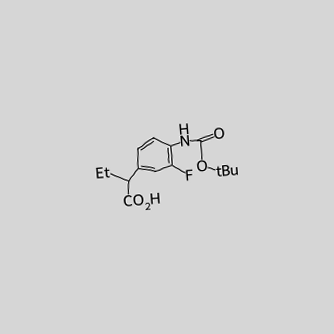 CCC(C(=O)O)c1ccc(NC(=O)OC(C)(C)C)c(F)c1